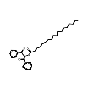 CCCCCCCCCCCCCCCCCC(=O)OC(C(=O)c1ccccc1)C(=O)c1ccccc1